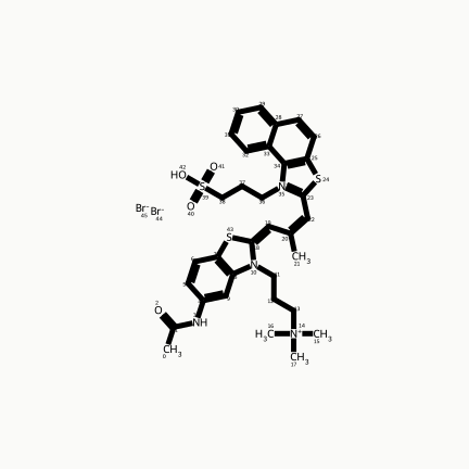 CC(=O)Nc1ccc2c(c1)N(CCC[N+](C)(C)C)C(=CC(C)=Cc1sc3ccc4ccccc4c3[n+]1CCCS(=O)(=O)O)S2.[Br-].[Br-]